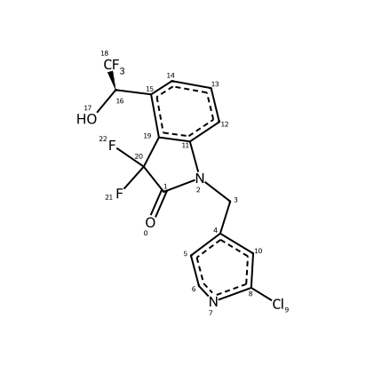 O=C1N(Cc2ccnc(Cl)c2)c2cccc([C@@H](O)C(F)(F)F)c2C1(F)F